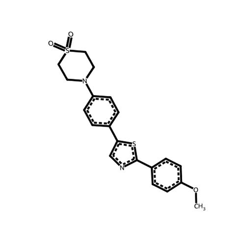 COc1ccc(-c2ncc(-c3ccc(N4CCS(=O)(=O)CC4)cc3)s2)cc1